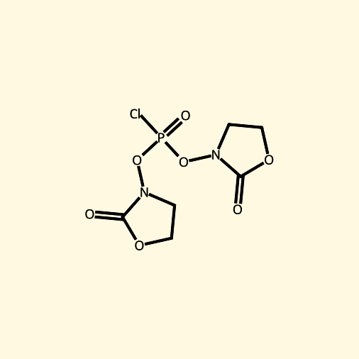 O=C1OCCN1OP(=O)(Cl)ON1CCOC1=O